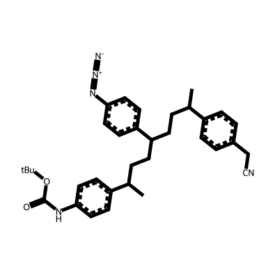 CC(CCC(CCC(C)c1ccc(NC(=O)OC(C)(C)C)cc1)c1ccc(N=[N+]=[N-])cc1)c1ccc(CC#N)cc1